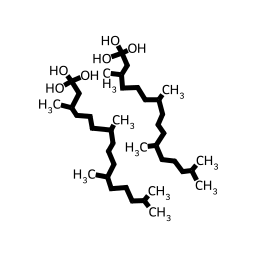 CC(C)CCCC(C)CCCC(C)CCCC(C)CC(O)(O)O.CC(C)CCCC(C)CCCC(C)CCCC(C)CC(O)(O)O